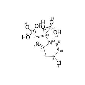 O=P(O)(O)c1nc2cc(Cl)ccn2c1P(=O)(O)O